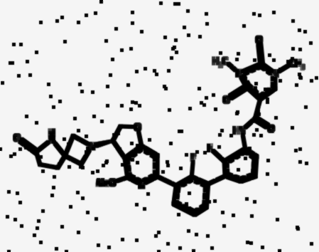 COc1nc(-c2cccc(-c3cccc(NC(=O)c4cn(C)c(=O)n(C)c4=O)c3F)c2F)cc2c1[C@@H](N1CC3(CCC(=O)N3)C1)CO2